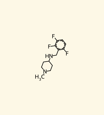 CN1CCC(NCc2c(F)ccc(F)c2F)CC1